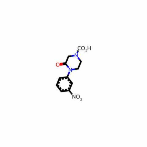 O=C(O)N1CCN(c2cccc([N+](=O)[O-])c2)C(=O)C1